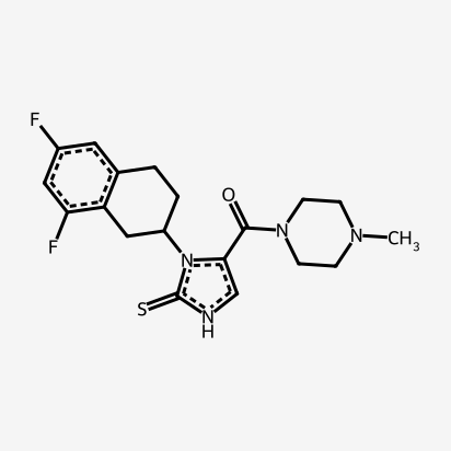 CN1CCN(C(=O)c2c[nH]c(=S)n2C2CCc3cc(F)cc(F)c3C2)CC1